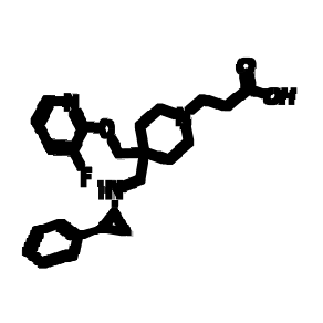 O=C(O)CCN1CCC(CN[C@@H]2C[C@H]2c2ccccc2)(COc2ncccc2F)CC1